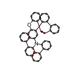 c1ccc(-c2ccccc2N(c2ccc3c(c2)C2(c4ccccc4O3)c3ccccc3-c3ccccc3-c3ccccc32)c2ccccc2-c2ccccc2)cc1